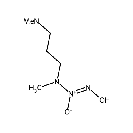 CNCCCN(C)/[N+]([O-])=N/O